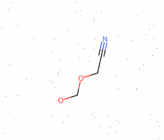 N#CCOC[O]